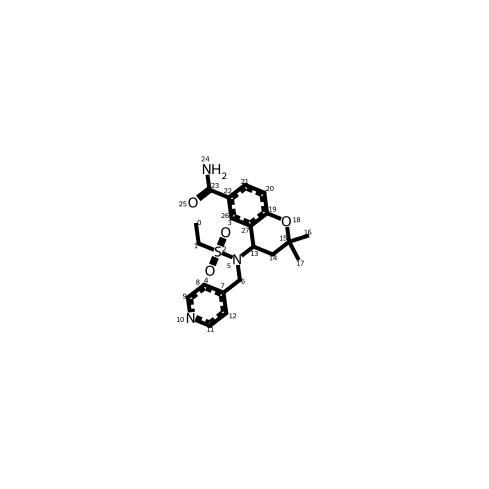 CCS(=O)(=O)N(Cc1ccncc1)C1CC(C)(C)Oc2ccc(C(N)=O)cc21